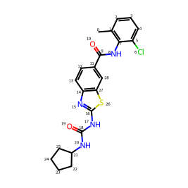 Cc1cccc(Cl)c1NC(=O)c1ccc2nc(NC(=O)NC3CCCC3)sc2c1